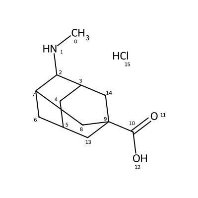 CNC1C2CC3CC1CC(C(=O)O)(C3)C2.Cl